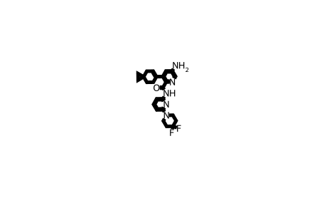 Nc1cnc(C(=O)Nc2cccc(N3CCC(F)(F)CC3)n2)c(C2=CCC3(CC2)CC3)c1